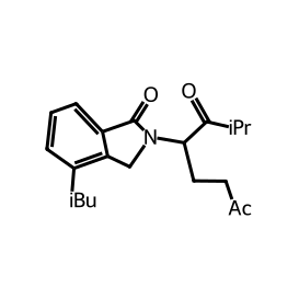 CCC(C)c1cccc2c1CN(C(CCC(C)=O)C(=O)C(C)C)C2=O